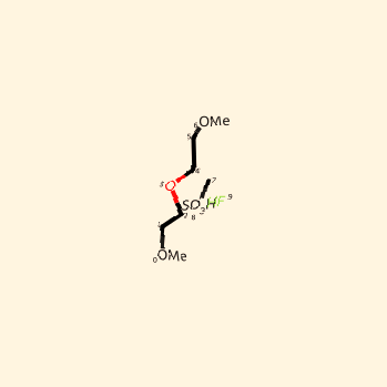 COCCOCCOC.CS(=O)(=O)O.F